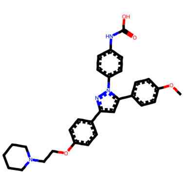 COc1ccc(-c2cc(-c3ccc(OCCN4CCCCC4)cc3)nn2-c2ccc(NC(=O)O)cc2)cc1